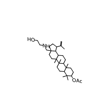 C=C(C)C1CCC2(CNCCO)CCC3(C)C(CCC4C5(C)CCC(OC(C)=O)C(C)(C)C5CCC43C)C12